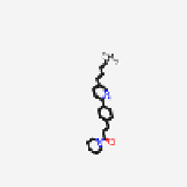 CCCCCC1C=NC(C2CC=C(CCC(=O)N3CCCCC3)CC2)CC1